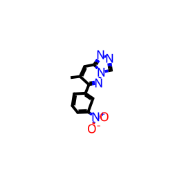 Cc1cc2nncn2nc1-c1cccc([N+](=O)[O-])c1